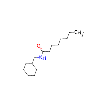 [CH2]CCCCCCC(=O)NCC1CCCCC1